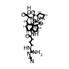 N#C/N=C(\N)NCCCC(=O)Nc1ccc(C[C@H](NC(=O)[C@@H]2CCCN2S(=O)(=O)c2ccccc2)C(=O)O)cc1